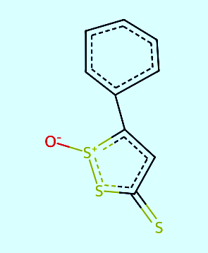 [O-][s+]1sc(=S)cc1-c1ccccc1